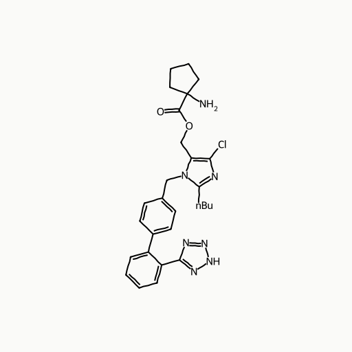 CCCCc1nc(Cl)c(COC(=O)C2(N)CCCC2)n1Cc1ccc(-c2ccccc2-c2nn[nH]n2)cc1